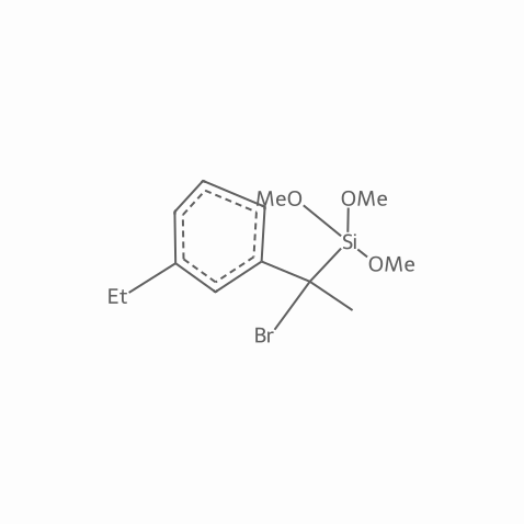 CCc1cccc(C(C)(Br)[Si](OC)(OC)OC)c1